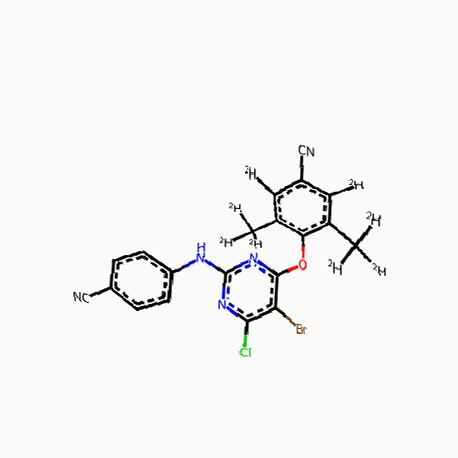 [2H]c1c(C#N)c([2H])c(C([2H])([2H])[2H])c(Oc2nc(Nc3ccc(C#N)cc3)nc(Cl)c2Br)c1C([2H])([2H])[2H]